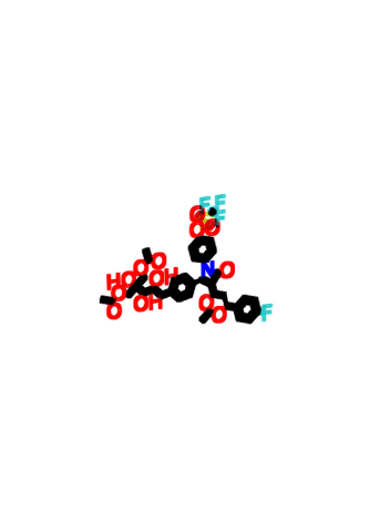 CC(=O)OCC(O)(COC(C)=O)C(O)C(O)Cc1ccc([C@@H]2C(CC[C@H](OC(C)=O)c3ccc(F)cc3)C(=O)N2c2ccc(OS(=O)(=O)C(F)(F)F)cc2)cc1